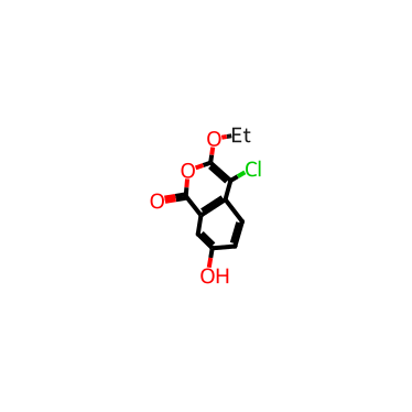 CCOc1oc(=O)c2cc(O)ccc2c1Cl